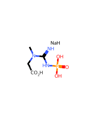 CN(CC(=O)O)C(=N)NP(=O)(O)O.[NaH]